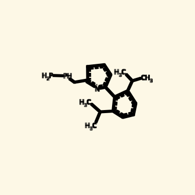 CC(C)c1cccc(C(C)C)c1-c1cccc(CPP)n1